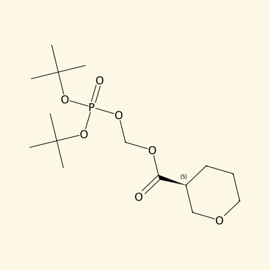 CC(C)(C)OP(=O)(OCOC(=O)[C@H]1CCCOC1)OC(C)(C)C